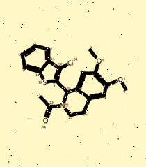 COc1cc2c(cc1OC)C(c1sc3ccccc3c1Cl)N(C(C)=O)CC2